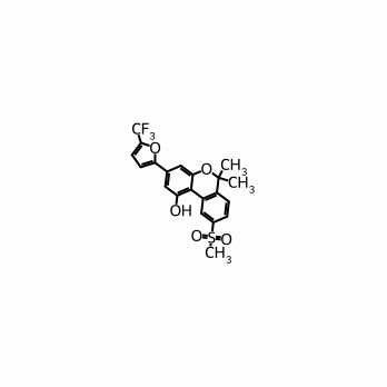 CC1(C)Oc2cc(-c3ccc(C(F)(F)F)o3)cc(O)c2-c2cc(S(C)(=O)=O)ccc21